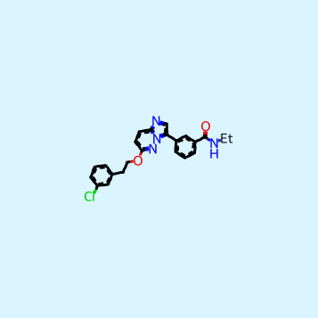 CCNC(=O)c1cccc(-c2cnc3ccc(OCCc4cccc(Cl)c4)nn23)c1